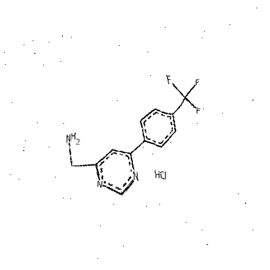 Cl.NCc1cc(-c2ccc(C(F)(F)F)cc2)ncn1